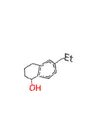 CCc1ccc2c(c1)CCCC2O